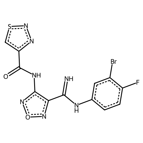 N=C(Nc1ccc(F)c(Br)c1)c1nonc1NC(=O)c1csnn1